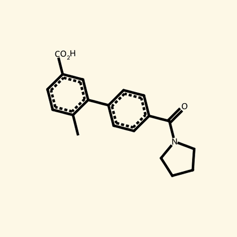 Cc1ccc(C(=O)O)cc1-c1ccc(C(=O)N2CCCC2)cc1